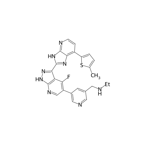 CCNCc1cncc(-c2cnc3[nH]nc(-c4nc5c(-c6ccc(C)s6)ccnc5[nH]4)c3c2F)c1